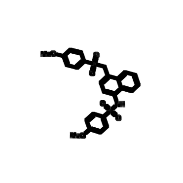 COc1ccc(S(=O)(=O)Cc2ccc(NS(=O)(=O)c3ccc(OC)cc3)c3ccccc23)cc1